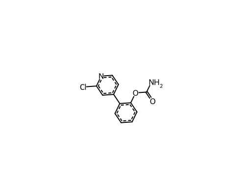 NC(=O)Oc1ccccc1-c1ccnc(Cl)c1